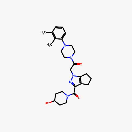 Cc1cccc(N2CCN(C(=O)Cn3nc(C(=O)N4CCC(O)CC4)c4c3CCC4)CC2)c1C